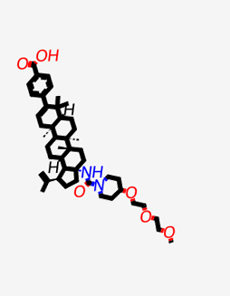 C=C(C)[C@@H]1CC[C@]2(NC(=O)N3CCC(OCCOCCOC)CC3)CC[C@]3(C)[C@H](CCC4[C@@]5(C)CC=C(c6ccc(C(=O)O)cc6)C(C)(C)[C@@H]5CC[C@]43C)C12